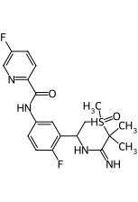 CC1(C)C(=N)NC(c2cc(NC(=O)c3ccc(F)cn3)ccc2F)C[SH]1(C)=O